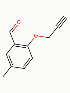 C#CCOc1ccc(C)cc1C=O